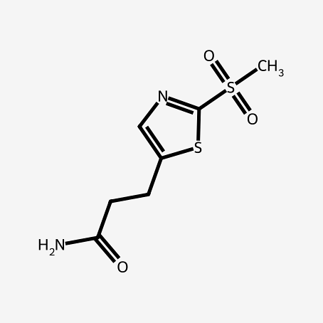 CS(=O)(=O)c1ncc(CCC(N)=O)s1